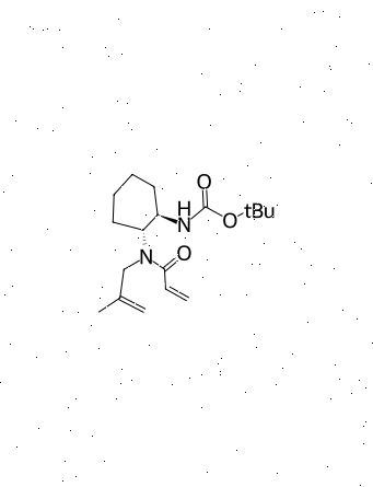 C=CC(=O)N(CC(=C)C)[C@@H]1CCCC[C@H]1NC(=O)OC(C)(C)C